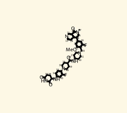 COc1cc(-c2cn(C)c(=O)c3cnccc23)cc(F)c1CN1CCC(NC(=O)C2CCN(c3ccc(NC4CCC(=O)NC4=O)cc3F)CC2)CC1